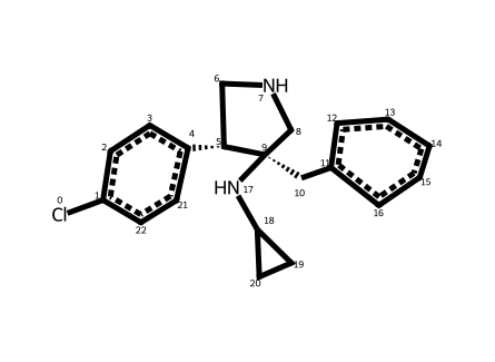 Clc1ccc([C@@H]2CNC[C@@]2(Cc2ccccc2)NC2CC2)cc1